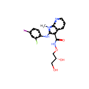 Cn1c(Nc2ccc(I)cc2F)c(C(=O)NOC[C@H](O)CO)c2cccnc21